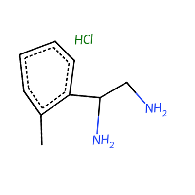 Cc1ccccc1C(N)CN.Cl